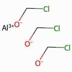 [Al+3].[O-]CCl.[O-]CCl.[O-]CCl